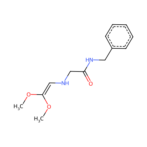 COC(=CNCC(=O)NCc1ccccc1)OC